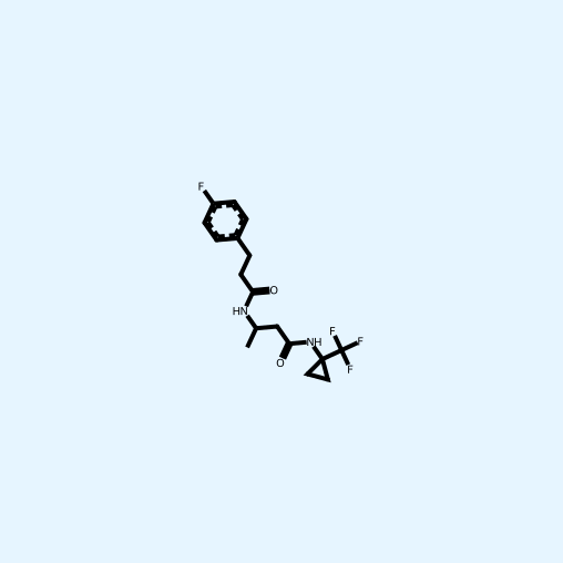 CC(CC(=O)NC1(C(F)(F)F)CC1)NC(=O)CCc1ccc(F)cc1